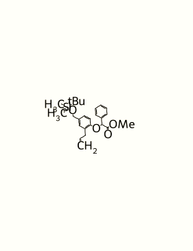 C=CCc1cc(CO[Si](C)(C)C(C)(C)C)ccc1OC(C(=O)OC)c1ccccc1